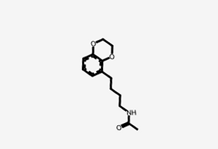 CC(=O)NCCCCc1cccc2c1OCCO2